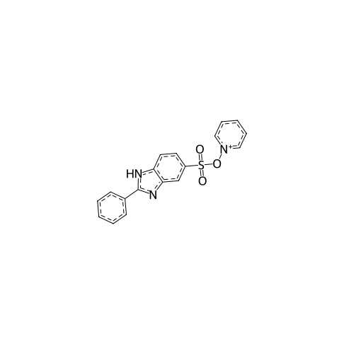 O=S(=O)(O[n+]1ccccc1)c1ccc2[nH]c(-c3ccccc3)nc2c1